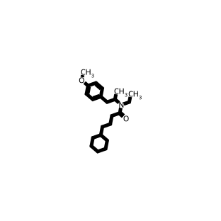 CCN(C(=O)CCCC1CCCCC1)C(C)Cc1ccc(OC)cc1